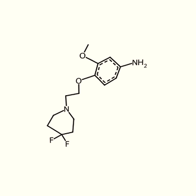 COc1cc(N)ccc1OCCN1CCC(F)(F)CC1